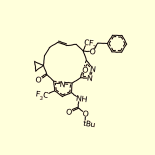 CC(C)(C)OC(=O)Nc1cc(C(F)(F)F)c2nc1-c1nnc(o1)C(OCc1ccccc1)(C(F)(F)F)C/C=C/CCC1(CC1)C2=O